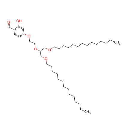 CCCCCCCCCCCCCCOCC(COCCCCCCCCCCCCCC)OCCOc1ccc(C=O)c(O)c1